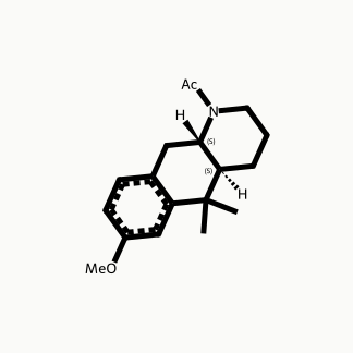 COc1ccc2c(c1)C(C)(C)[C@@H]1CCCN(C(C)=O)[C@H]1C2